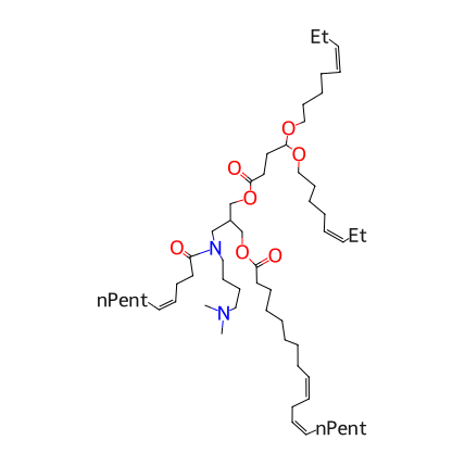 CC/C=C\CCCCOC(CCC(=O)OCC(COC(=O)CCCCCCC/C=C\C/C=C\CCCCC)CN(CCCCN(C)C)C(=O)CC/C=C\CCCCC)OCCCC/C=C\CC